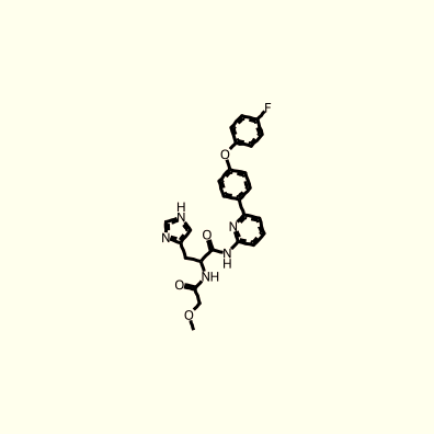 COCC(=O)NC(Cc1c[nH]cn1)C(=O)Nc1cccc(-c2ccc(Oc3ccc(F)cc3)cc2)n1